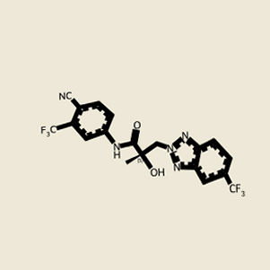 C[C@](O)(Cn1nc2ccc(C(F)(F)F)cc2n1)C(=O)Nc1ccc(C#N)c(C(F)(F)F)c1